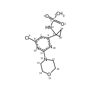 CS(=O)(=O)NC1(c2cc(Cl)nc(N3CCOCC3)n2)CC1